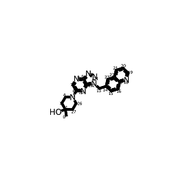 CC1(O)CCN(c2cnc3nnn(Cc4ccc5ncccc5c4)c3n2)CC1